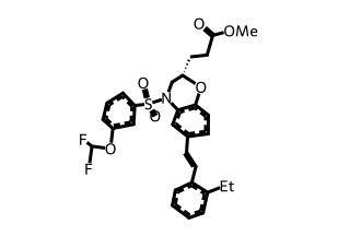 CCc1ccccc1/C=C/c1ccc2c(c1)N(S(=O)(=O)c1cccc(OC(F)F)c1)C[C@H](CCC(=O)OC)O2